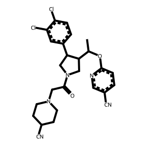 CC(Oc1ccc(C#N)cn1)C1CN(C(=O)CN2CCC(C#N)CC2)CC1c1ccc(Cl)c(Cl)c1